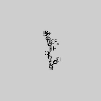 CC(C)(C)OC(=O)N1CCN(c2ccc(NCCC(=O)N3CCC(CSc4ccncc4-c4ccc(Cl)cc4)CC3)cc2C(F)(F)F)CC1